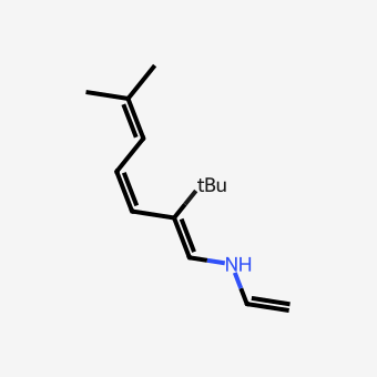 C=CN/C=C(/C=C\C=C(C)C)C(C)(C)C